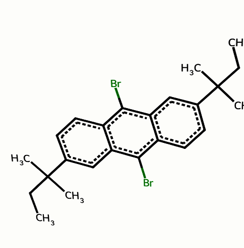 CCC(C)(C)c1ccc2c(Br)c3cc(C(C)(C)CC)ccc3c(Br)c2c1